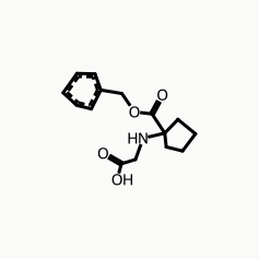 O=C(O)CNC1(C(=O)OCc2ccccc2)CCCC1